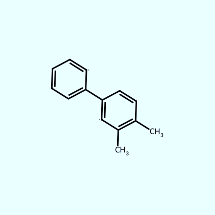 Cc1[c]c(-c2[c]cccc2)ccc1C